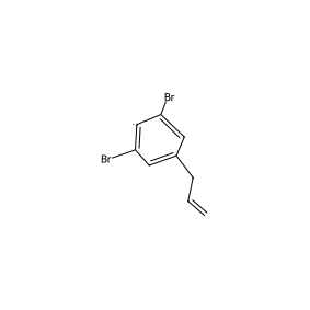 C=CCc1cc(Br)[c]c(Br)c1